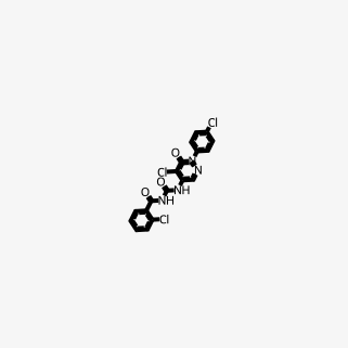 O=C(NC(=O)c1ccccc1Cl)Nc1cnn(-c2ccc(Cl)cc2)c(=O)c1Cl